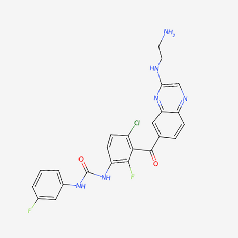 NCCNc1cnc2ccc(C(=O)c3c(Cl)ccc(NC(=O)Nc4cccc(F)c4)c3F)cc2n1